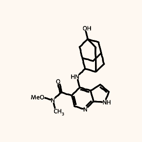 CON(C)C(=O)c1cnc2[nH]ccc2c1NC1C2CC3CC1CC(O)(C3)C2